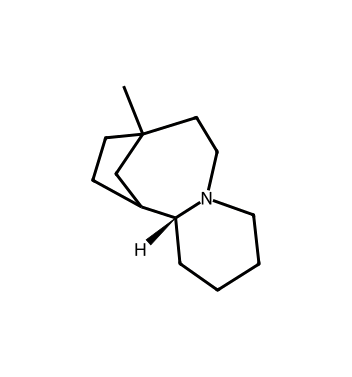 CC12CCC(C1)[C@H]1CCCCN1CC2